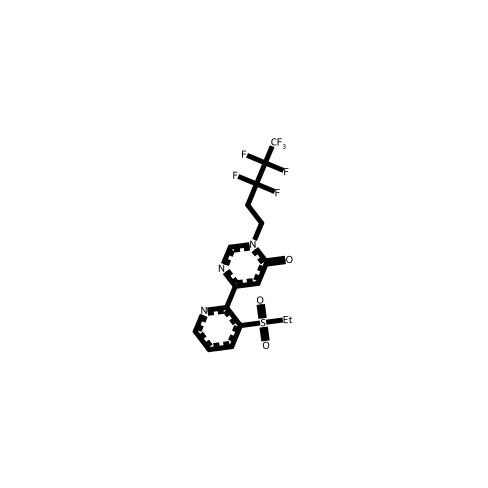 CCS(=O)(=O)c1cccnc1-c1cc(=O)n(CCC(F)(F)C(F)(F)C(F)(F)F)cn1